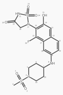 CS(=O)(=O)N1CCC(Nc2ccc3cc(O)c(N4CC(=O)NS4(=O)=O)c(F)c3c2)CC1